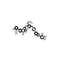 COc1cc(CN2CCN(c3ccc4c(c3)CN(C3CCC(=O)NC3=O)C4)CC2)cnc1O[C@H]1CN2c3cc(-c4cccc(F)c4O)nnc3NC[C@]2(C(F)F)C1